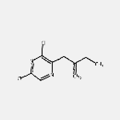 C=C(CC)Cc1ncc(Cl)nc1Cl